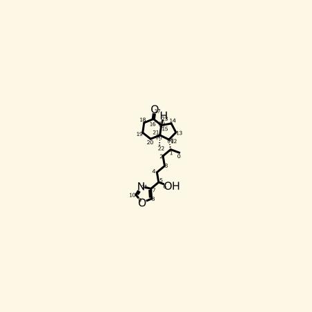 CC(CCCC(O)c1cocn1)[C@H]1CC[C@H]2C(=O)CCC[C@]12C